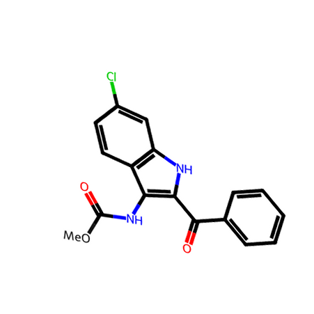 COC(=O)Nc1c(C(=O)c2ccccc2)[nH]c2cc(Cl)ccc12